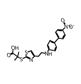 CC(C)(Sc1nc(CCNc2ccc(-c3ccc([N+](=O)[O-])cc3)cc2)cs1)C(=O)O